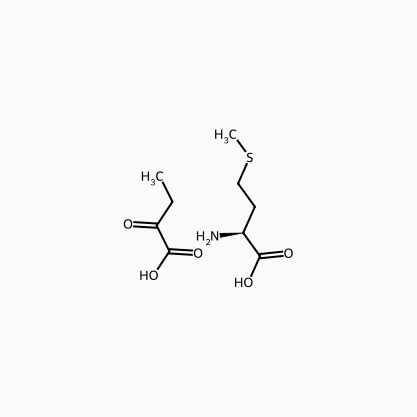 CCC(=O)C(=O)O.CSCC[C@H](N)C(=O)O